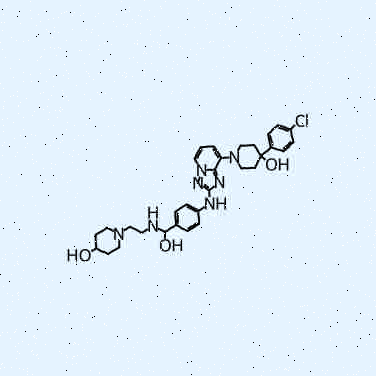 OC1CCN(CCNC(O)c2ccc(Nc3nc4c(N5CCC(O)(c6ccc(Cl)cc6)CC5)cccn4n3)cc2)CC1